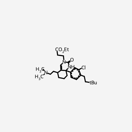 CCOC(=O)CCN1C=C2C(CCN(C)C)CCCC2(c2ccc(CCC(C)(C)C)c(Cl)c2)NC1=O